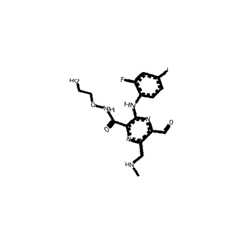 CNCc1nc(C(=O)NOCCO)c(Nc2ccc(I)cc2F)nc1C=O